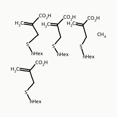 C.C=C(CSCCCCCC)C(=O)O.C=C(CSCCCCCC)C(=O)O.C=C(CSCCCCCC)C(=O)O.C=C(CSCCCCCC)C(=O)O